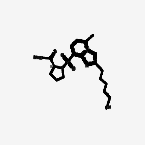 COC(=O)[C@@H]1CCCN1S(=O)(=O)c1ccc(C)n2cc(CCCCCO)nc12